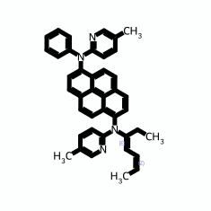 C/C=C\C=C(/CC)N(c1ccc(C)cn1)c1ccc2ccc3c(N(c4ccccc4)c4ccc(C)cn4)ccc4ccc1c2c43